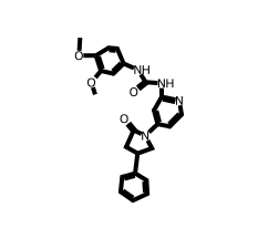 COc1ccc(NC(=O)Nc2cc(N3CC(c4ccccc4)CC3=O)ccn2)cc1OC